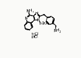 CCCCn1c(Cc2ccc(CN)cc2)nc2c(N)nc3ccccc3c21.Cl.Cl